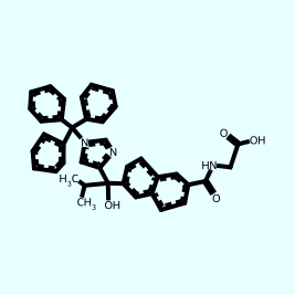 CC(C)C(O)(c1ccc2cc(C(=O)NCC(=O)O)ccc2c1)c1cn(C(c2ccccc2)(c2ccccc2)c2ccccc2)cn1